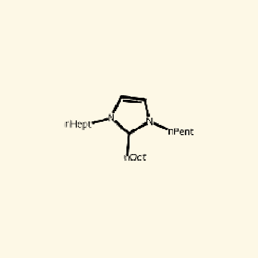 CCCCCCCCC1N(CCCCC)C=CN1CCCCCCC